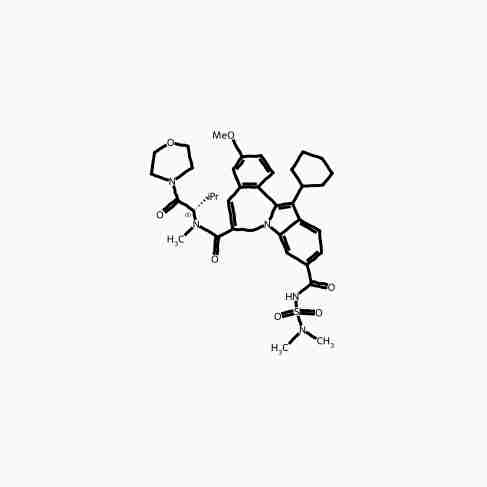 COc1ccc2c(c1)C=C(C(=O)N(C)[C@H](C(=O)N1CCOCC1)C(C)C)Cn1c-2c(C2CCCCC2)c2ccc(C(=O)NS(=O)(=O)N(C)C)cc21